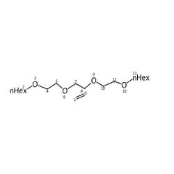 C=C.CCCCCCOCCOCCOCCOCCCCCC